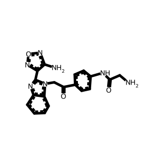 NCC(=O)Nc1ccc(C(=O)Cn2c(-c3nonc3N)nc3ccccc32)cc1